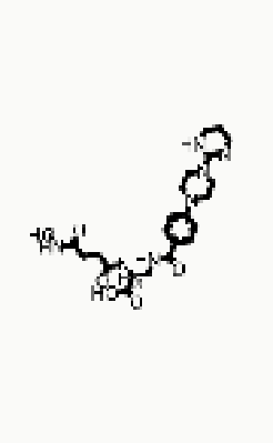 O=C(CCC(=O)N[C@@H](CNC(=O)c1ccc(N2CCN(C3=NCCCN3)CC2)cc1)C(=O)O)NO